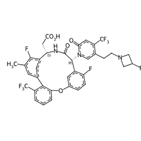 Cc1cc2cc(c1F)[C@H](CC(=O)O)NC(=O)[C@H](n1cc(CCN3CC(F)C3)c(C(F)(F)F)cc1=O)c1cc(ccc1F)Oc1cccc(C(F)(F)F)c1-2